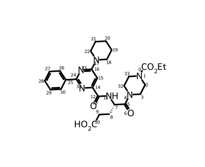 CCOC(=O)N1CCN(C(=O)[C@H](CCC(=O)O)NC(=O)c2cc(N3CCCCC3)nc(-c3ccccc3)n2)CC1